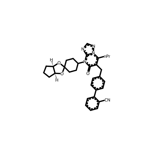 CCCc1c(Cc2ccc(-c3ccccc3C#N)cc2)c(=O)n(C2CCC3(CC2)O[C@H]2CCC[C@H]2O3)c2ncnn12